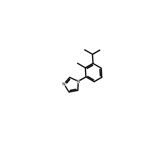 Cc1c(C(C)C)cccc1-n1ccnc1